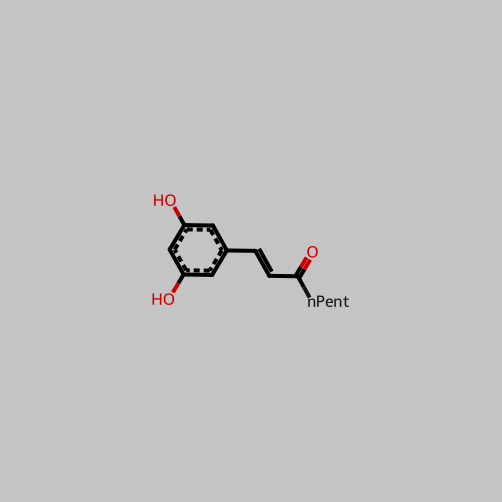 CCCCCC(=O)C=Cc1cc(O)cc(O)c1